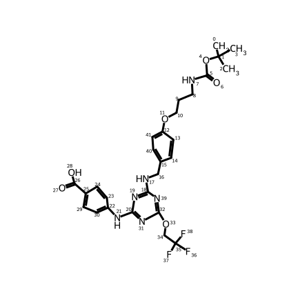 CC(C)(C)OC(=O)NCCCOc1ccc(CNc2nc(Nc3ccc(C(=O)O)cc3)nc(OCC(F)(F)F)n2)cc1